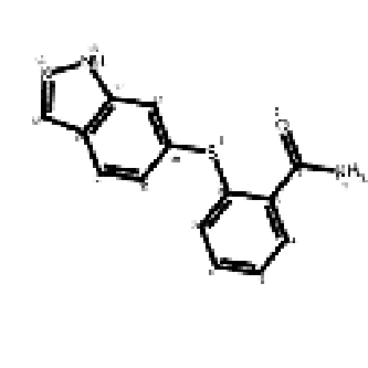 NC(=O)c1ccccc1Sc1ccc2cn[nH]c2c1